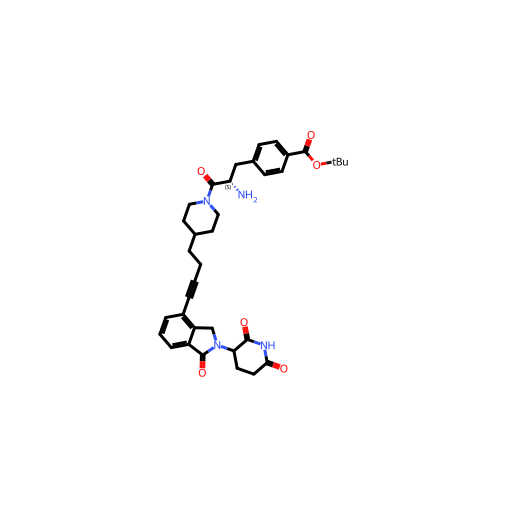 CC(C)(C)OC(=O)c1ccc(C[C@H](N)C(=O)N2CCC(CCC#Cc3cccc4c3CN(C3CCC(=O)NC3=O)C4=O)CC2)cc1